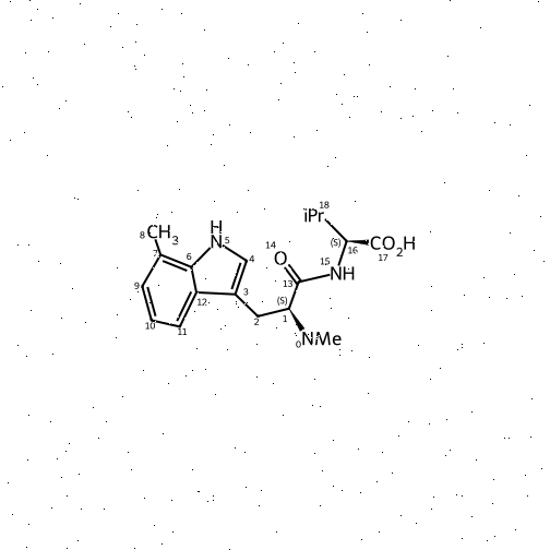 CN[C@@H](Cc1c[nH]c2c(C)cccc12)C(=O)N[C@H](C(=O)O)C(C)C